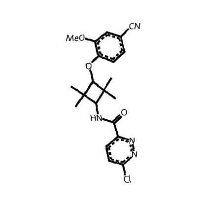 COc1cc(C#N)ccc1OC1C(C)(C)C(NC(=O)c2ccc(Cl)nn2)C1(C)C